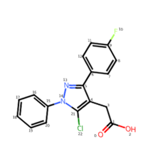 O=C(O)Cc1c(-c2ccc(F)cc2)nn(-c2ccccc2)c1Cl